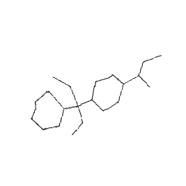 CCC(C)C1CCC(C(CC)(CC)C2CCCCC2)CC1